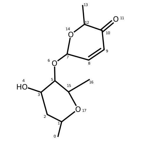 CC1CC(O)C(OC2C=CC(=O)C(C)O2)C(C)O1